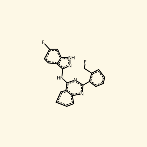 FCc1ccccc1-c1nc(Nc2n[nH]c3cc(F)ccc23)c2ccccc2n1